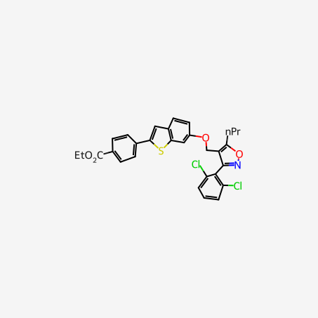 CCCc1onc(-c2c(Cl)cccc2Cl)c1COc1ccc2cc(-c3ccc(C(=O)OCC)cc3)sc2c1